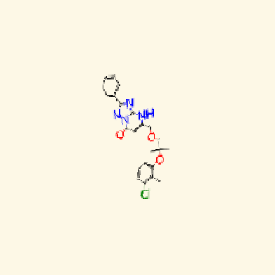 Cc1c(Cl)cccc1OC(C)(C)COCc1cc(=O)n2nc(C3=CC=CCC3)nc2[nH]1